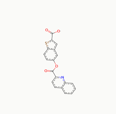 [O]C(=O)c1cc2cc(OC(=O)c3ccc4ccccc4n3)ccc2s1